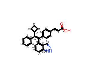 O=C(O)C=Cc1ccc(C(=C(c2ccccc2)C2CCC2)c2cccc3[nH]ncc23)cc1